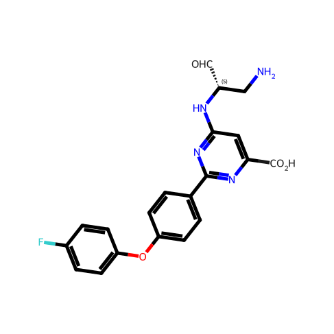 NC[C@@H](C=O)Nc1cc(C(=O)O)nc(-c2ccc(Oc3ccc(F)cc3)cc2)n1